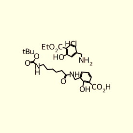 CC(C)(C)OC(=O)NCCCCCC(=O)NCc1cccc(C(=O)O)c1O.CCOC(=O)c1ccc(CN)cc1O.Cl